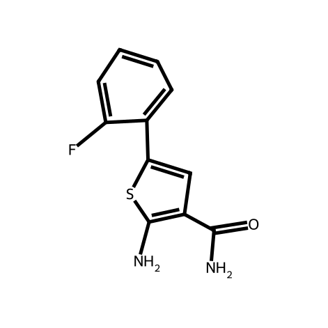 NC(=O)c1cc(-c2ccccc2F)sc1N